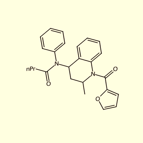 CCCC(=O)N(c1ccccc1)C1CC(C)N(C(=O)c2ccco2)c2ccccc21